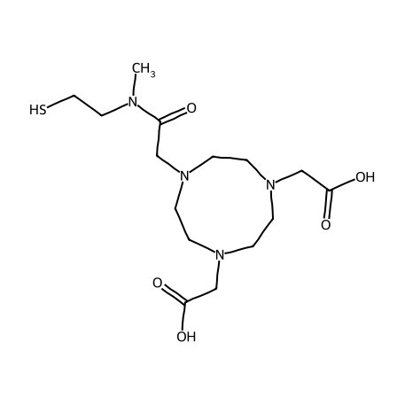 CN(CCS)C(=O)CN1CCN(CC(=O)O)CCN(CC(=O)O)CC1